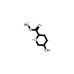 CC(C)(C)OC(=O)C1CCC(O)CO1